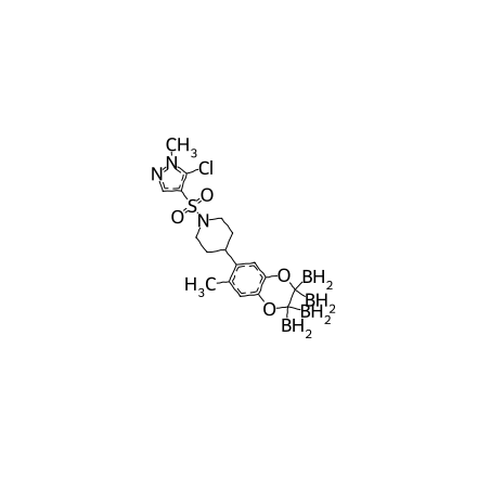 BC1(B)Oc2cc(C)c(C3CCN(S(=O)(=O)c4cnn(C)c4Cl)CC3)cc2OC1(B)B